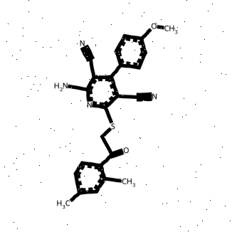 COc1ccc(-c2c(C#N)c(N)nc(SCC(=O)c3ccc(C)cc3C)c2C#N)cc1